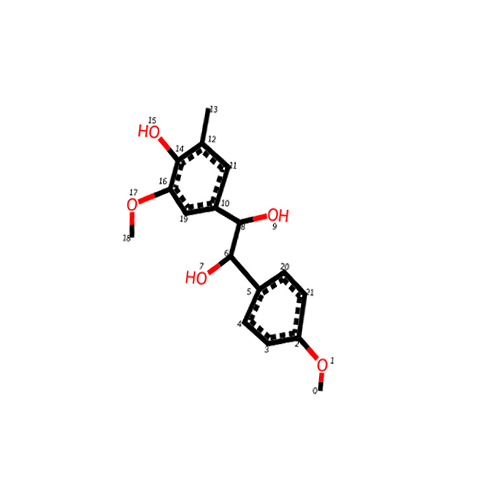 COc1ccc(C(O)C(O)c2cc(C)c(O)c(OC)c2)cc1